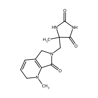 CN1CC=CC2=C1C(=O)N(CC1(C)NC(=O)NC1=O)C2